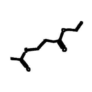 CCOC(=O)[CH]CSC(C)=O